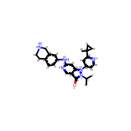 CC(C)n1c(=O)c2cnc(Nc3ccc4c(c3)CNCC4)cc2n1-c1ccnc(C2(C)CC2)c1